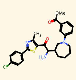 COC(=O)c1cccc(N2CCCCC(C(N)C(=O)c3sc(-c4ccc(Cl)cc4)nc3C)C2)c1